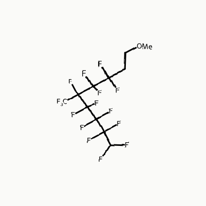 COCCC(F)(F)C(F)(F)C(F)(C(F)(F)F)C(F)(F)C(F)(F)C(F)(F)C(F)F